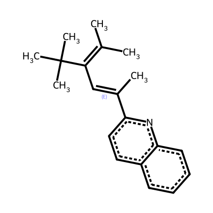 CC(C)=C(/C=C(\C)c1ccc2ccccc2n1)C(C)(C)C